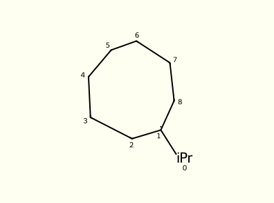 CC(C)[C]1CCCCCCC1